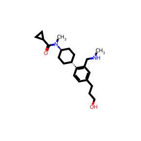 CNCc1cc(CCCO)ccc1[C@H]1CC[C@H](N(C)C(=O)C2CC2)CC1